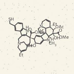 CCC1=C[C@H]2CN(C1)Cc1c([nH]c3ccc(CS)cc13)[C@@](C(=O)OC)(C1C=C3C(=CC1OC)N(C)[C@H]1[C@@](O)(C(=O)OC)[C@H](OC(C)=O)[C@]4(CC)C=CCN5CC[C@]31[C@@H]54)C2